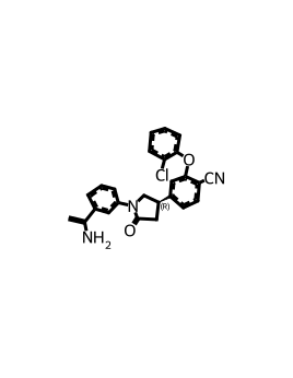 C=C(N)c1cccc(N2C[C@@H](c3ccc(C#N)c(Oc4ccccc4Cl)c3)CC2=O)c1